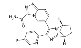 NC(=O)c1nnc2ccc(-c3c(-c4ccc(F)cn4)nc4n3[C@@H]3CC[C@H]4C3)cn12